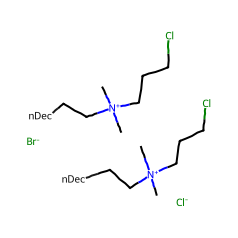 CCCCCCCCCCCC[N+](C)(C)CCCCl.CCCCCCCCCCCC[N+](C)(C)CCCCl.[Br-].[Cl-]